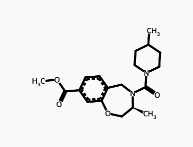 COC(=O)c1ccc2c(c1)OC[C@H](C)N(C(=O)N1CCC(C)CC1)C2